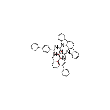 C1=CC2c3ccccc3N(c3nc(-c4ccc(-c5ccccc5)cc4)nc(-c4ccc(-c5ccccc5)cc4)n3)C2c2c1c1ccccc1n2-c1nc2c(ccc3ccccc32)o1